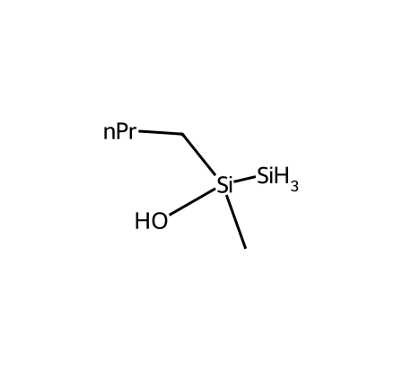 CCCC[Si](C)(O)[SiH3]